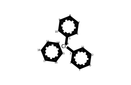 c1cc[c]([Cr][c]2ccccc2)cc1.c1ccccc1